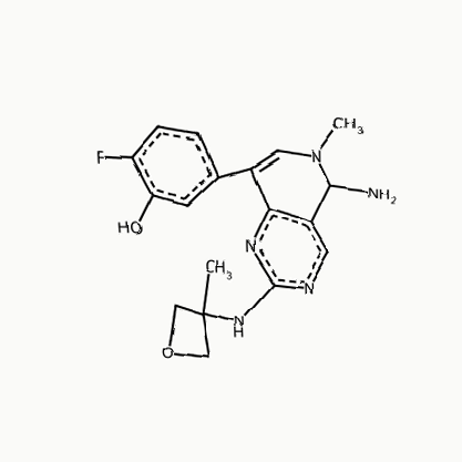 CN1C=C(c2ccc(F)c(O)c2)c2nc(NC3(C)COC3)ncc2C1N